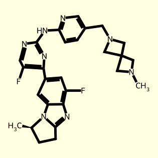 C[C@@H]1CCc2nc3c(F)cc(-c4nc(Nc5ccc(CN6CC7(CN(C)C7)C6)cn5)ncc4F)cc3n21